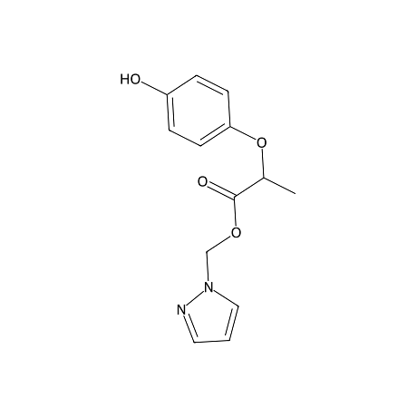 CC(Oc1ccc(O)cc1)C(=O)OCn1cccn1